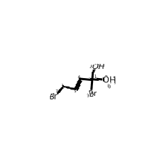 OC(O)(Br)C=CCBr